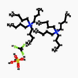 CCCC[N+](CCCC)(CCCC)CCCC.CCCC[N+](CCCC)(CCCC)CCCC.FC(F)F.O=S(=O)([O-])[O-]